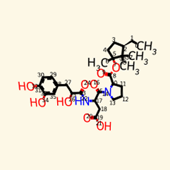 CC[C@@H]1CCC(C)(OC(=O)C2CCCN2C(=O)C(CC(=O)O)NC(=O)C(O)Cc2ccc(O)c(O)c2)C1(C)C